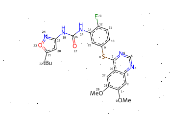 COc1cc2ncnc(Sc3ccc(F)c(NC(=O)Nc4cc(C(C)(C)C)on4)c3)c2cc1OC